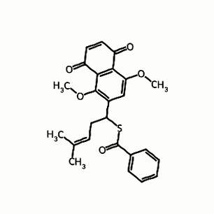 COc1cc(C(CC=C(C)C)SC(=O)c2ccccc2)c(OC)c2c1C(=O)C=CC2=O